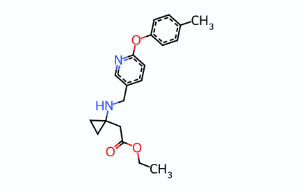 CCOC(=O)CC1(NCc2ccc(Oc3ccc(C)cc3)nc2)CC1